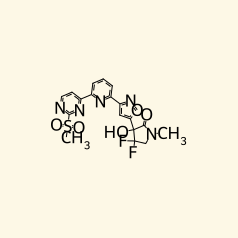 CN1CC(F)(F)C(O)(c2cc(-c3cccc(-c4ccnc(S(C)(=O)=O)n4)n3)no2)C1=O